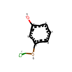 [O]c1cccc(SCl)c1